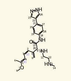 C=C(/C=C\C=C(/C)OC)[C@@H](NCCNC)C(=O)Nc1ccc(-c2cn[nH]c2)cc1